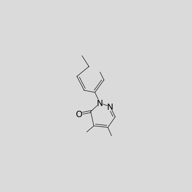 C/C=C(\C=C/CC)n1ncc(C)c(C)c1=O